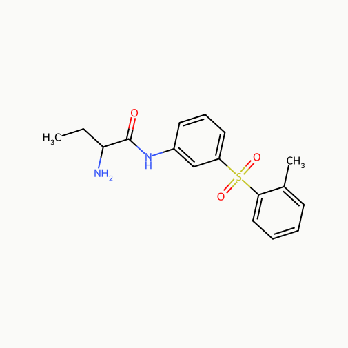 CCC(N)C(=O)Nc1cccc(S(=O)(=O)c2ccccc2C)c1